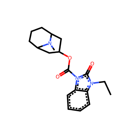 CCn1c(=O)n(C(=O)OC2CC3CCCC(C2)N3C)c2ccccc21